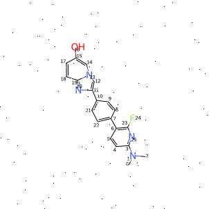 CN(C)c1ccc(-c2ccc(-c3cn4cc(O)ccc4n3)cc2)c(F)n1